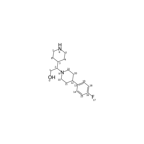 OCC(C1CCNCC1)N1CCC(c2ccc(F)cc2)CC1